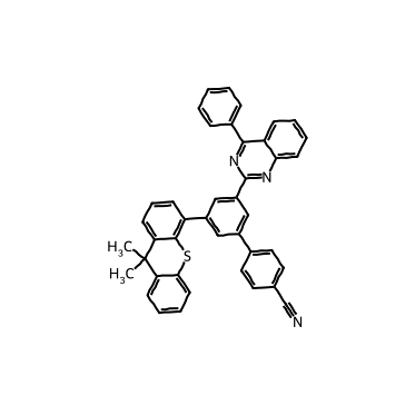 CC1(C)c2ccccc2Sc2c(-c3cc(-c4ccc(C#N)cc4)cc(-c4nc(-c5ccccc5)c5ccccc5n4)c3)cccc21